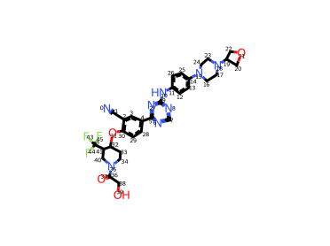 N#Cc1cc(-c2ncnc(Nc3ccc(N4CCN(C5COC5)CC4)cc3)n2)ccc1OC1CCN(C(=O)CO)CC1C(F)(F)F